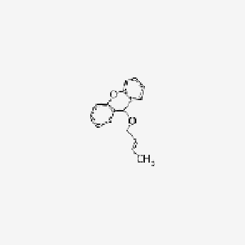 CC=CCOC1c2ccccc2Oc2ccccc21